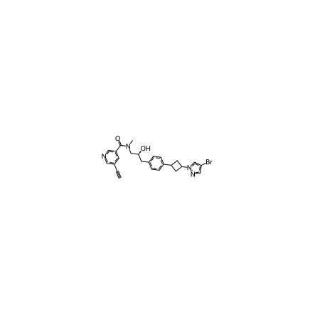 C#Cc1cncc(C(=O)N(C)C[C@@H](O)Cc2ccc(C3CC(n4cc(Br)cn4)C3)cc2)c1